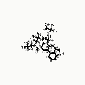 O=C(O)C(F)(F)F.[2H]C([2H])([2H])N1C[C@H](C(=O)N(C([2H])([2H])C([2H])([2H])[2H])C([2H])([2H])C([2H])([2H])[2H])C=C2c3cccc4[nH]cc(c34)C[C@H]21